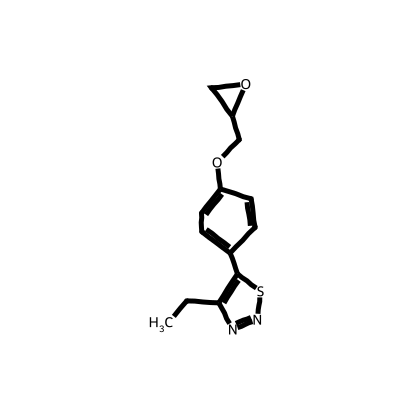 CCc1nnsc1-c1ccc(OCC2CO2)cc1